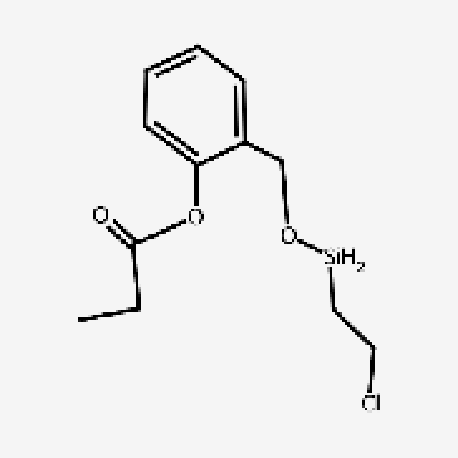 CCC(=O)Oc1ccccc1CO[SiH2]CCCl